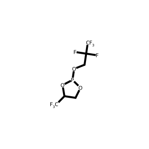 FC(F)(F)C1COP(OCC(F)(F)C(F)(F)F)O1